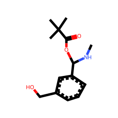 CNC(OC(=O)C(C)(C)C)c1cccc(CO)c1